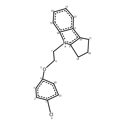 Clc1ccc(OCCn2c3c(c4ccccc42)CCC3)cc1